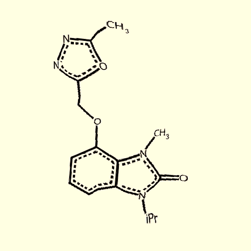 Cc1nnc(COc2cccc3c2n(C)c(=O)n3C(C)C)o1